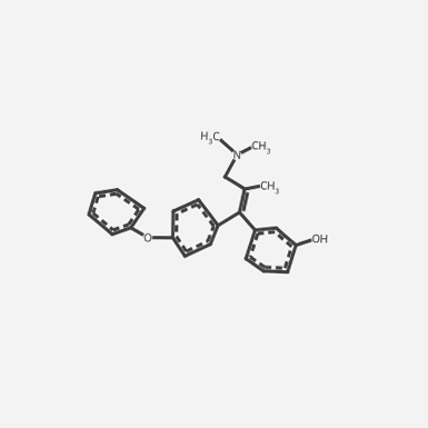 CC(CN(C)C)=C(c1ccc(Oc2ccccc2)cc1)c1cccc(O)c1